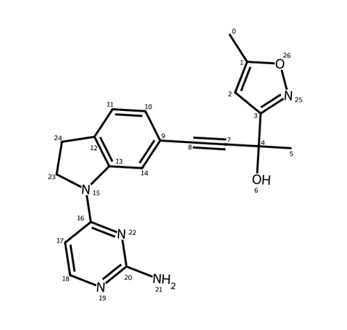 Cc1cc(C(C)(O)C#Cc2ccc3c(c2)N(c2ccnc(N)n2)CC3)no1